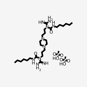 CCCCCCNC(=O)N(CCCN1CCN(CCCN(C(=N)N)C(=O)NCCCCCC)CC1)C(=N)N.CS(=O)(=O)O.CS(=O)(=O)O